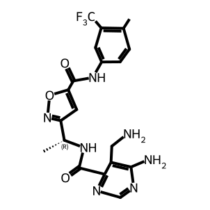 Cc1ccc(NC(=O)c2cc([C@@H](C)NC(=O)c3ncnc(N)c3CN)no2)cc1C(F)(F)F